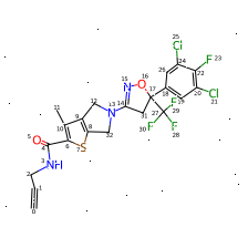 C#CCNC(=O)c1sc2c(c1C)CN(C1=NOC(c3cc(Cl)c(F)c(Cl)c3)(C(F)(F)F)C1)C2